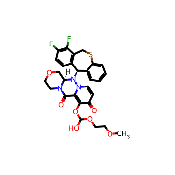 COCCOC(O)Oc1c2n(ccc1=O)N([C@@H]1c3ccccc3SCc3c1ccc(F)c3F)[C@@H]1COCCN1C2=O